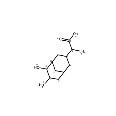 CC1CC2CC(C(C)C(=O)O)CC(C2)C1O